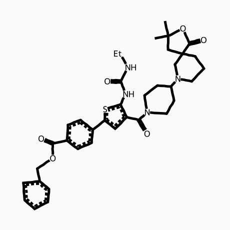 CCNC(=O)Nc1sc(-c2ccc(C(=O)OCc3ccccc3)cc2)cc1C(=O)N1CCC(N2CCCC3(C2)CC(C)(C)OC3=O)CC1